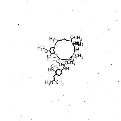 CNc1cc(NC(=O)O[C@H]2CC(=O)N(C)c3cc(cc(OC)c3Cl)C/C(C)=C/C=C/[C@@H](OC)[C@@]3(O)C[C@H](OC(=O)N3)[C@@H](C)[C@@H]3O[C@@]23C)ccc1/C=C(\C)N